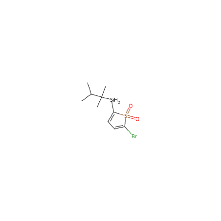 CC(C)C(C)(C)[SiH2]C1=CC=C(Br)S1(=O)=O